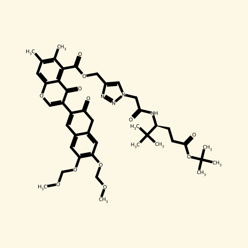 COCOc1cc2c(cc1OCOC)CC(=O)C(c1coc3cc(C)c(C)c(C(=O)OCc4cn(CC(=O)N[C@@H](CCC(=O)OC(C)(C)C)C(C)(C)C)nn4)c3c1=O)=C2